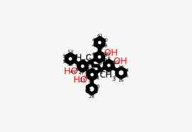 CC(CCC(C)(c1ccc(O)c(C2CCCCC2)c1)c1ccc(O)c(C2CCCCC2)c1)(c1ccc(O)c(-c2ccccc2)c1)c1ccc(O)c(-c2ccccc2)c1